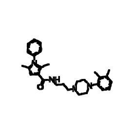 Cc1cccc(N2CCN(CCCNC(=O)c3cc(C)n(-c4ccccc4)c3C)CC2)c1C